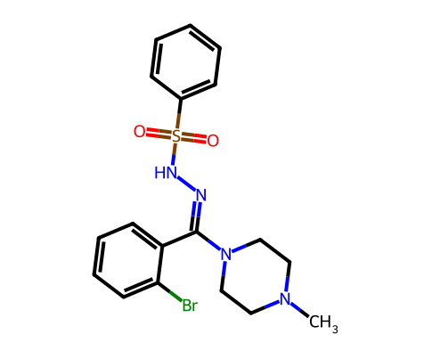 CN1CCN(/C(=N/NS(=O)(=O)c2ccccc2)c2ccccc2Br)CC1